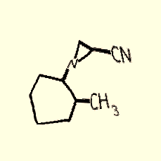 CC1CCCCC1N1CC1C#N